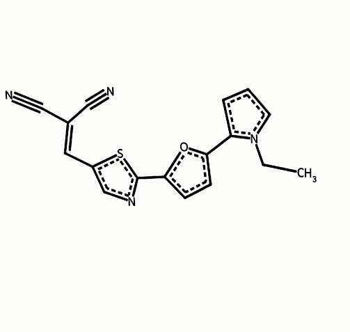 CCn1cccc1-c1ccc(-c2ncc(C=C(C#N)C#N)s2)o1